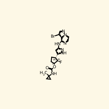 CC1(NC(=O)O[C@@H]2CC[C@H](c3cc(Nc4nccn5ncc(Br)c45)n[nH]3)[C@H]2F)CC1